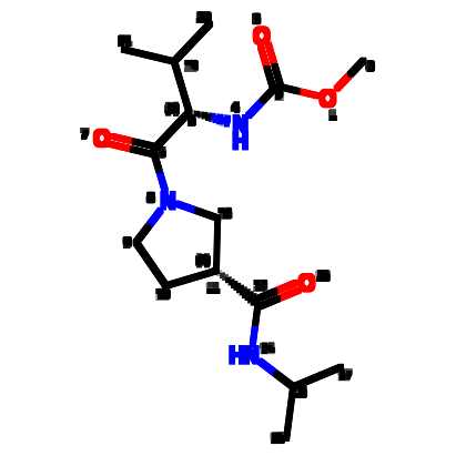 COC(=O)N[C@H](C(=O)N1CC[C@@H](C(=O)NC(C)C)C1)C(C)C